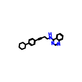 C(#Cc1ccc(C2CCCCC2)cc1)CCNc1ncnc2ccccc12